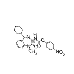 CN1C(=O)[C@@H](NC(=O)Oc2ccc([N+](=O)[O-])cc2)N=C(C2CCCCC2)c2ccccc21